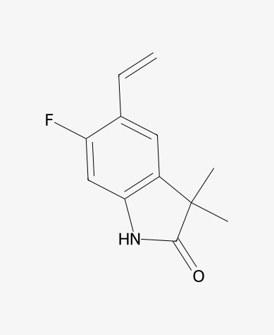 C=Cc1cc2c(cc1F)NC(=O)C2(C)C